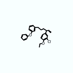 C=CC(CCCc1cccc(Oc2ccccc2)c1)c1ccc(OCC)c(Cl)c1